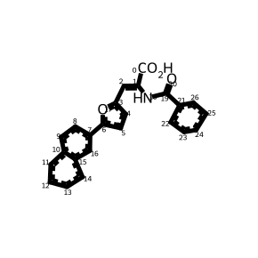 O=C(O)C(=Cc1ccc(-c2ccc3ccccc3c2)o1)NC(=O)c1ccccc1